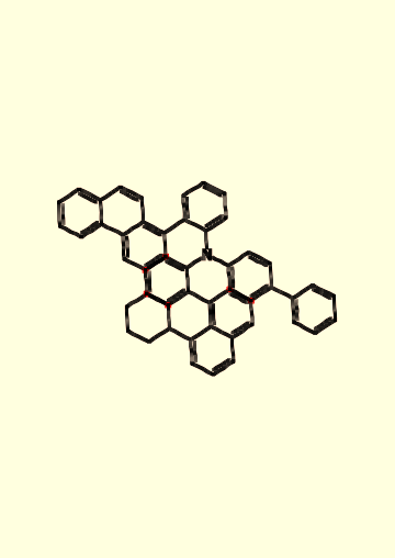 c1ccc(-c2ccc(N(c3ccccc3-c3cccc4c3ccc3ccccc34)c3ccccc3-c3cccc4cccc(C5CCCCC5)c34)cc2)cc1